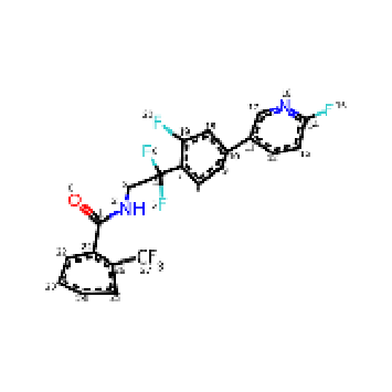 O=C(NCC(F)(F)c1ccc(-c2ccc(F)nc2)cc1F)c1ccccc1C(F)(F)F